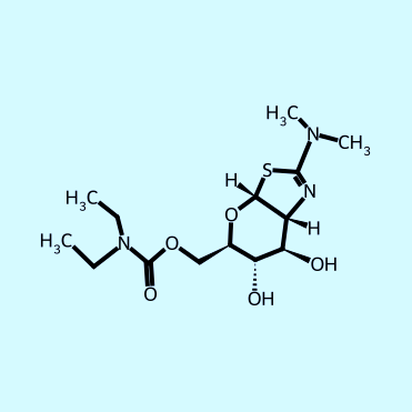 CCN(CC)C(=O)OC[C@H]1O[C@@H]2SC(N(C)C)=N[C@@H]2[C@@H](O)[C@@H]1O